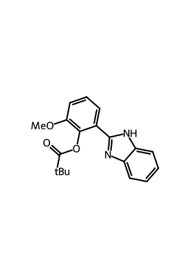 COc1cccc(-c2nc3ccccc3[nH]2)c1OC(=O)C(C)(C)C